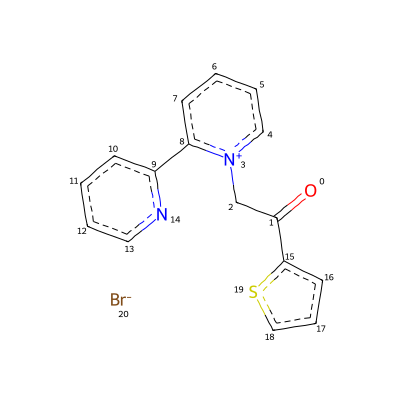 O=C(C[n+]1ccccc1-c1ccccn1)c1cccs1.[Br-]